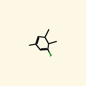 CC1=CC(C)C(C)C(F)=C1